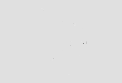 Cc1noc(C)c1-c1ccc2c(c1)ncc1[nH]c(=O)n(Cc3ccccc3F)c12